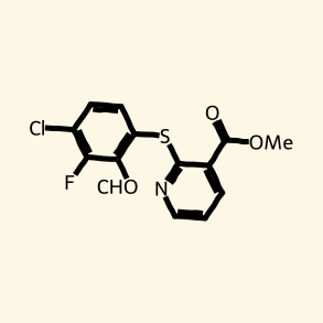 COC(=O)c1cccnc1Sc1ccc(Cl)c(F)c1C=O